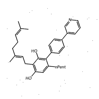 CCCCCc1cc(O)c(C/C=C(\C)CCC=C(C)C)c(O)c1-c1ccc(-c2cccnc2)cc1